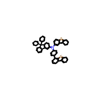 c1ccc(C2(c3ccccc3)c3ccccc3-c3cc(N(c4ccc(-c5cccc6c5sc5ccccc56)cc4)c4ccc5sc6ccccc6c5c4)ccc32)cc1